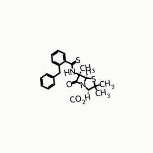 CC1(C)S[C@H]2N(C(=O)[C@]2(C)NC(=S)c2ccccc2Cc2ccccc2)[C@H]1C(=O)O